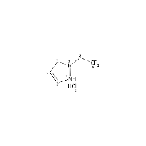 Cl.FC(F)(F)CN1CC=CN1